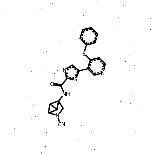 N#CN1CC2(NC(=O)c3ncc(-c4cnccc4Sc4ccccc4)s3)C3C1C32